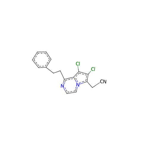 N#CCc1c(Cl)c(Cl)c2c(CCc3ccccc3)nccn12